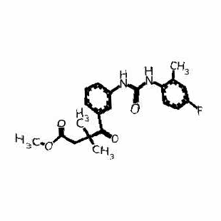 COC(=O)CC(C)(C)C(=O)c1cccc(NC(=O)Nc2ccc(F)cc2C)c1